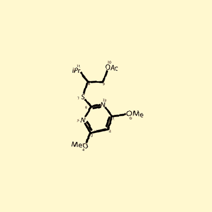 COc1cc(OC)nc(SC(COC(C)=O)C(C)C)n1